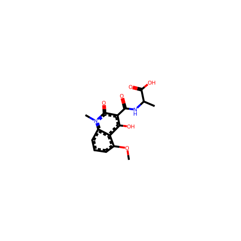 COc1cccc2c1c(O)c(C(=O)NC(C)C(=O)O)c(=O)n2C